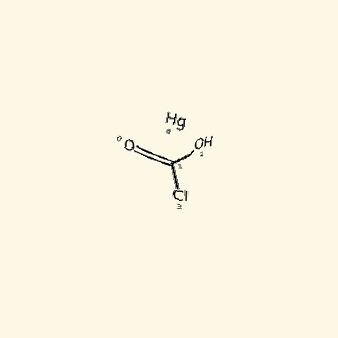 O=C(O)Cl.[Hg]